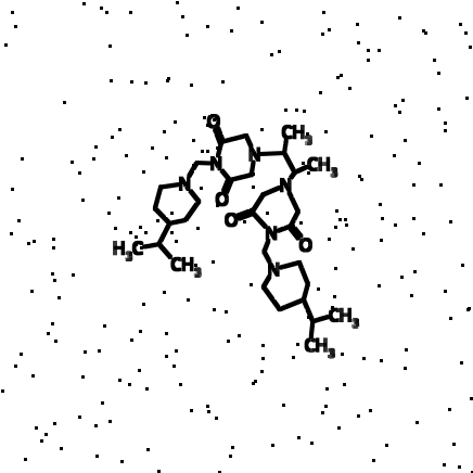 CC(C)C1CCN(CN2C(=O)CN(C(C)C(C)N3CC(=O)N(CN4CCC(C(C)C)CC4)C(=O)C3)CC2=O)CC1